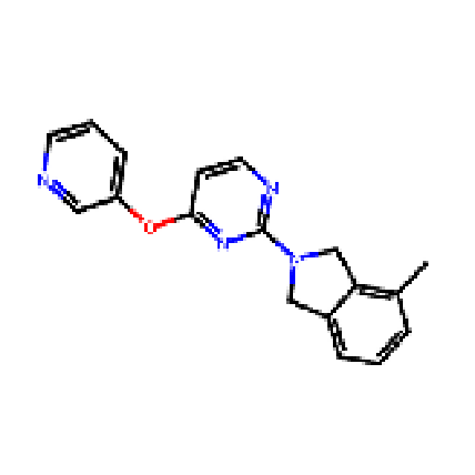 Cc1cccc2c1CN(c1nccc(Oc3cccnc3)n1)C2